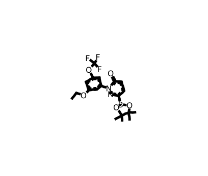 CCOc1cc(OC(F)(F)F)cc(-n2nc(B3OC(C)(C)C(C)(C)O3)ccc2=O)c1